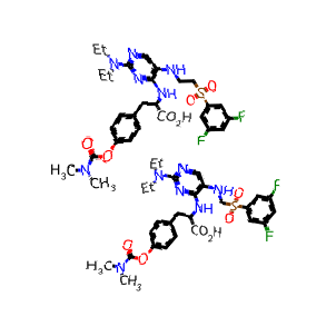 CCN(CC)c1ncc(NCCS(=O)(=O)c2cc(F)cc(F)c2)c(NC(Cc2ccc(OC(=O)N(C)C)cc2)C(=O)O)n1.CCN(CC)c1ncc(NCS(=O)(=O)c2cc(F)cc(F)c2)c(NC(Cc2ccc(OC(=O)N(C)C)cc2)C(=O)O)n1